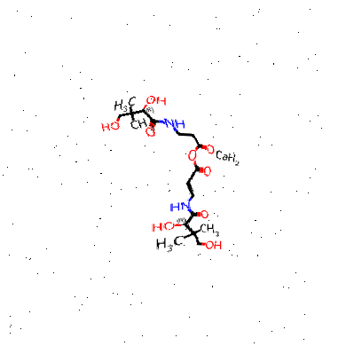 CC(C)(CO)[C@@H](O)C(=O)NCCC(=O)OC(=O)CCNC(=O)[C@H](O)C(C)(C)CO.[CaH2]